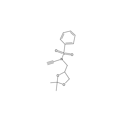 C#CN(CC1COC(C)(C)O1)S(=O)(=O)c1ccccc1